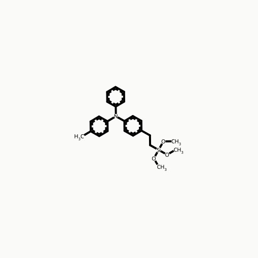 CO[Si](CCc1ccc(N(c2ccccc2)c2ccc(C)cc2)cc1)(OC)OC